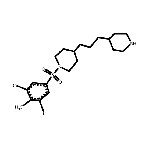 Cc1c(Cl)cc(S(=O)(=O)N2CCC(CCCC3CCNCC3)CC2)cc1Cl